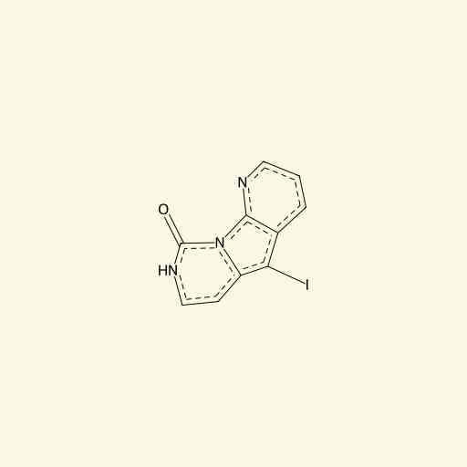 O=c1[nH]ccc2c(I)c3cccnc3n12